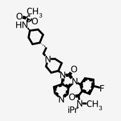 CC(C)N(C)C(=O)c1cc(F)ccc1-n1c(=O)n(C2CCN(CC[C@H]3CC[C@H](NS(C)(=O)=O)CC3)CC2)c2ccncc21